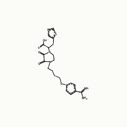 N=C(N)c1ccc(OCCCCN2CCN(C(Cc3cncs3)C(=O)O)C(=O)C2=O)cc1